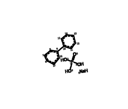 O=P(O)(O)O.[NaH].c1ccc(-c2ccccc2)cc1